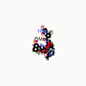 COCOc1cc(-c2ncc3c(N4CC5CCC(C4)N5C(=O)OC(C)(C)C)nc(OCC4(CN5CCN(CC6CCC7(CC6)CCN(C(=O)c6ccc(Cl)c(N8CCC(=O)NC8=O)c6)CC7)CC5)CC4)nc3c2F)c2c(C#C[Si](C(C)C)(C(C)C)C(C)C)c(F)ccc2c1